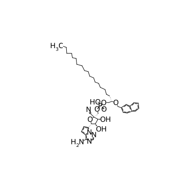 CCCCCCCCCCCCCCCCCC[C@@H](COP(=O)(O)OC[C@@]1(C#N)O[C@@H](c2ccc3c(N)ncnn23)[C@H](O)[C@@H]1O)OCc1ccc2ccccc2c1